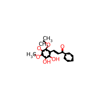 CCOc1c(C=CC(=O)c2ccccc2)c(O)c(O)c(OC)c1OC